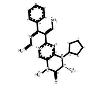 C=C/N=C(\C(=C/N)c1ncc2c(n1)N(C1CCCC1)[C@H](C)C(=O)N2C)c1ccccc1